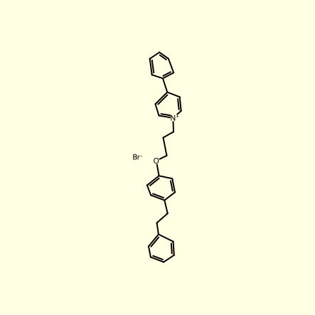 [Br-].c1ccc(CCc2ccc(OCCC[n+]3ccc(-c4ccccc4)cc3)cc2)cc1